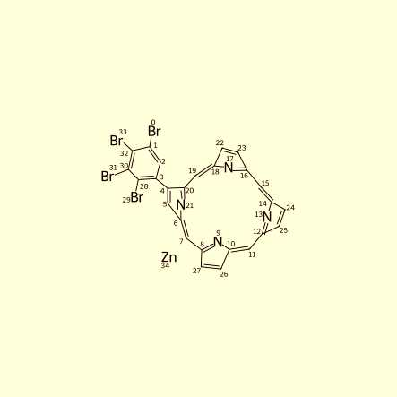 Brc1cc(C2=CC3=CC4=NC(=CC5=NC(=CC6=NC(=CC2=N3)C=C6)C=C5)C=C4)c(Br)c(Br)c1Br.[Zn]